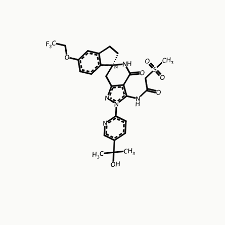 CC(C)(O)c1ccc(-n2nc3c(c2NC(=O)CS(C)(=O)=O)C(=O)N[C@@]2(CCc4cc(OCC(F)(F)F)ccc42)C3)nc1